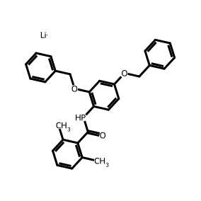 Cc1cccc(C)c1C(=O)Pc1ccc(OCc2ccccc2)cc1OCc1ccccc1.[Li]